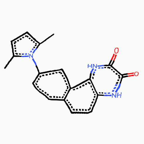 Cc1ccc(C)n1-c1ccc2ccc3[nH]c(=O)c(=O)[nH]c3c2c1